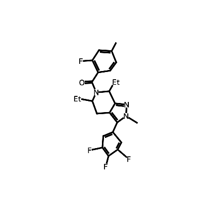 CCC1Cc2c(nn(C)c2-c2cc(F)c(F)c(F)c2)C(CC)N1C(=O)c1ccc(C)cc1F